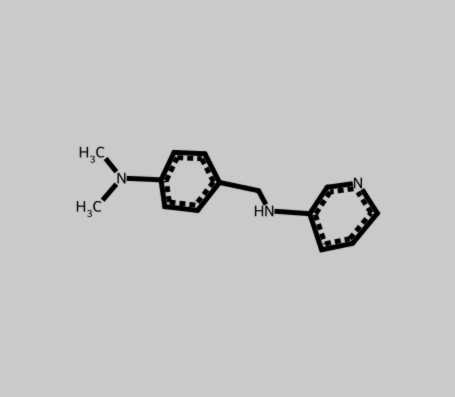 CN(C)c1ccc(CNc2cccnc2)cc1